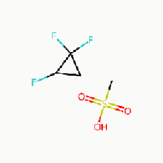 CS(=O)(=O)O.FC1CC1(F)F